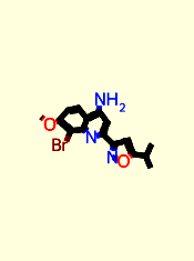 COc1ccc2c(N)cc(-c3cc(C(C)C)on3)nc2c1Br